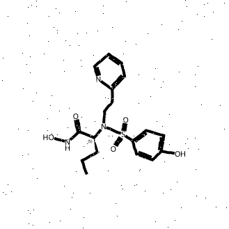 CCC[C@@H](C(=O)NO)N(CCc1ccccn1)S(=O)(=O)c1ccc(O)cc1